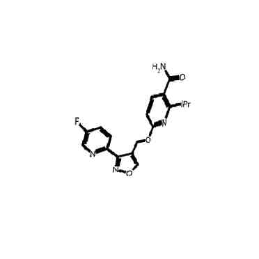 CC(C)c1nc(OCc2conc2-c2ccc(F)cn2)ccc1C(N)=O